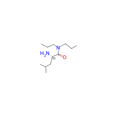 CCCN(CCC)C(=O)[C@@H](N)CC(C)C